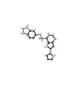 c1coc(-c2cc3ncnc(NCc4ccc5c(c4)OCO5)c3s2)c1